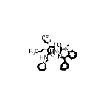 CN1C(=O)[C@@H](NC(=O)[C@@H](CCC(F)(F)F)[C@@H](CCC(F)(F)F)C(=O)NCN2CCCCC2)N=C(c2ccccc2)c2ccccc21